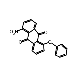 O=C1c2cccc([N+](=O)[O-])c2C(=O)c2cccc(Oc3ccccc3)c21